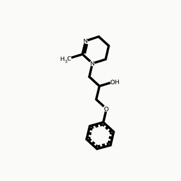 CC1=NCCCN1CC(O)COc1ccccc1